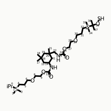 CC(C)S(C)(C)CCCOCCOC(=O)NC1CC(C)(C)CC(C)(CNC(=O)OCCOCCCS(C)(C)C(C)(C)OS)C1